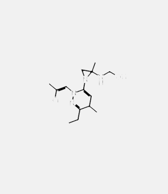 CCC1=NN(/C=C(/C)Cl)C(N2CC2(C)NCO)=CC1C